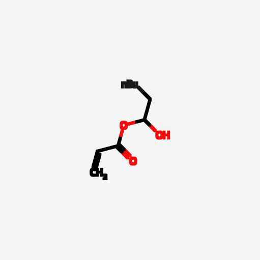 C=CC(=O)OC(O)CCCCC